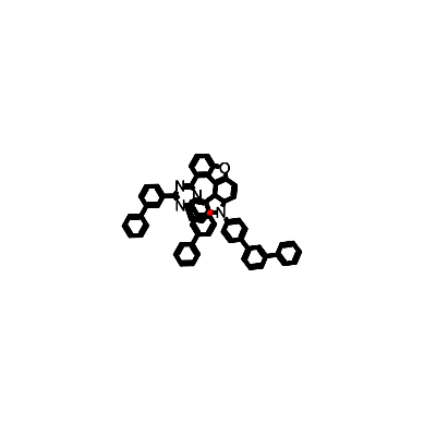 C1=CC2C(c3ccccc3N2c2ccc(-c3cccc(-c4ccccc4)c3)cc2)c2c1oc1cccc(-c3nc(-c4cccc(-c5ccccc5)c4)nc(-c4cccc(-c5ccccc5)c4)n3)c21